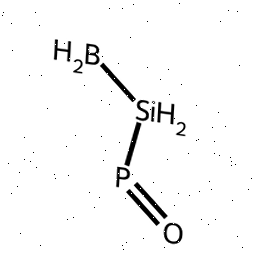 B[SiH2]P=O